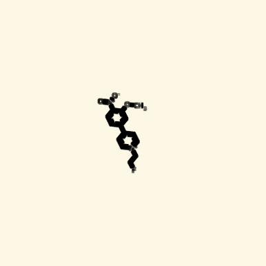 COc1cc(-c2cc[n+](CCF)cc2)ccc1[N+](=O)[O-]